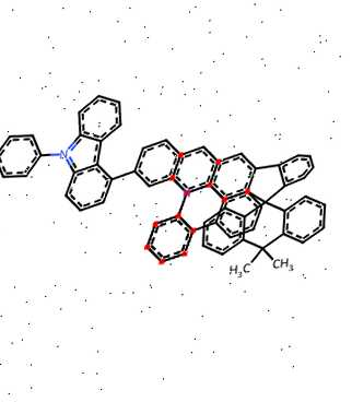 CC1(C)c2ccccc2C2(c3ccccc3-c3ccc(N(c4cccc(-c5cccc6c5c5ccccc5n6-c5ccccc5)c4)c4ccccc4-c4ccccc4-c4ccccc4-c4ccccc4)cc32)c2ccccc21